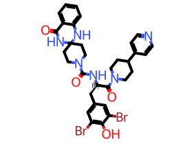 O=C1NC2(CCN(C(=O)N[C@H](Cc3cc(Br)c(O)c(Br)c3)C(=O)N3CCC(c4ccncc4)CC3)CC2)Nc2ccccc21